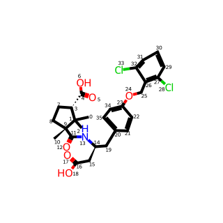 CC1(C)[C@@H](C(=O)O)CC[C@@]1(C)C(=O)N[C@H](CC(=O)O)Cc1ccc(OCc2c(Cl)cccc2Cl)cc1